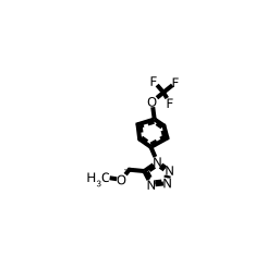 CO[CH]c1nnnn1-c1ccc(OC(F)(F)F)cc1